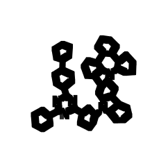 c1ccc(-c2ccc(-c3nc(-c4ccccc4)nc(-c4cccc(-n5c6ccccc6c6cc7c(cc65)c5cccc6c5n7-c5ccccc5-c5ccccc5-6)c4)n3)cc2)cc1